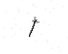 CCCCCCCCCCCCCC(=O)C(C)(O)O